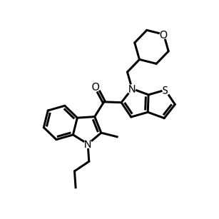 CCCn1c(C)c(C(=O)c2cc3ccsc3n2CC2CCOCC2)c2ccccc21